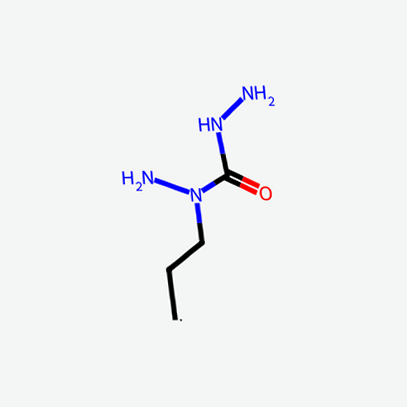 [CH2]CCN(N)C(=O)NN